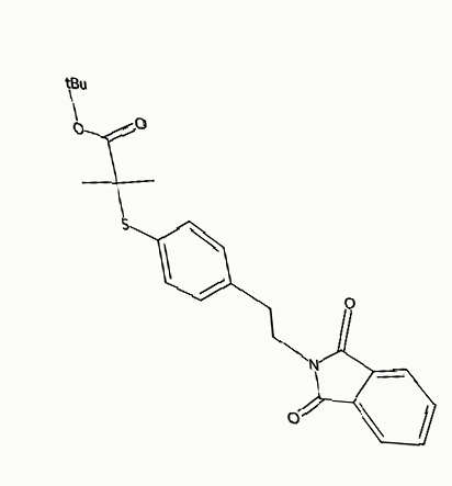 CC(C)(C)OC(=O)C(C)(C)Sc1ccc(CCN2C(=O)c3ccccc3C2=O)cc1